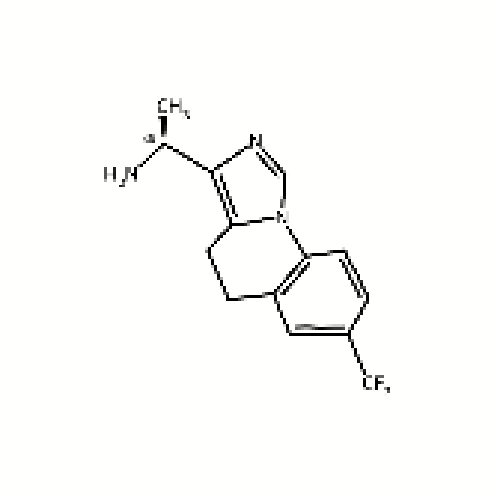 C[C@H](N)c1ncn2c1CCc1cc(C(F)(F)F)ccc1-2